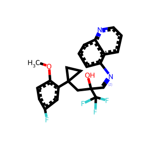 COc1ccc(F)cc1C1(CC(O)(/C=N\c2cccc3ncccc23)C(F)(F)F)CC1